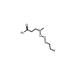 CC(=O)C(=O)CCN(C)OOSCCF